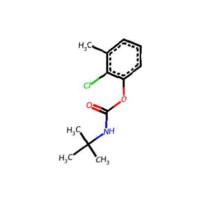 Cc1cccc(OC(=O)NC(C)(C)C)c1Cl